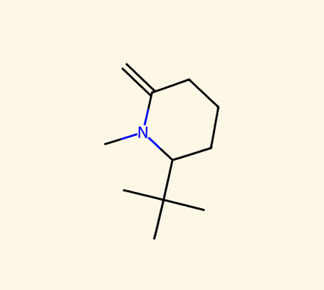 C=C1CCCC(C(C)(C)C)N1C